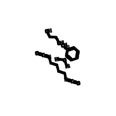 CCOCC.Cc1ccccc1.O=C=NCCCCN=C=O.OCCO